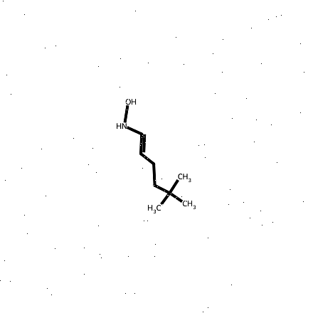 CC(C)(C)CC/C=C/NO